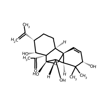 C=C(C)[C@@H]1CC[C@H]2[C@]34C=C[C@H](O)C(C)(C)[C@H]3[C@H](O)[C@](O)(OC4)[C@@]2(C(C)=O)[C@@H]1O